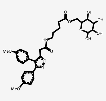 COc1ccc(-c2noc(CC(=O)NCCCCC(=O)OCC3OC(O)C(O)C(O)C3O)c2-c2ccc(OC)cc2)cc1